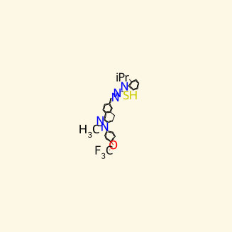 Cc1nc2c(n1-c1ccc(OC(F)(F)F)cc1)=CCc1cc(=CN=NC(S)=Nc3ccccc3C(C)C)ccc1=2